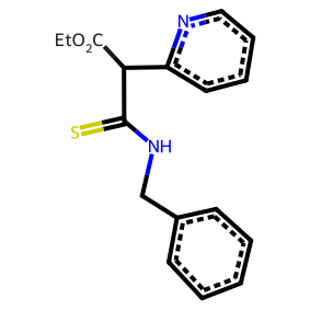 CCOC(=O)C(C(=S)NCc1ccccc1)c1ccccn1